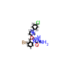 NNC(=O)N(N)c1cccc(Br)c1COc1ccn(-c2ccc(Cl)cc2)n1